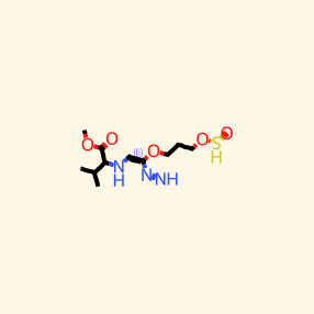 COC(=O)C(N/C=C(\N=N)OCCCO[SH]=O)C(C)C